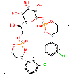 O=[P@]1(OCC(O)[C@H]2O[C@H](O[P@]3(=O)OCC[C@H](c4cccc(Cl)c4)O3)[C@@H](O)[C@@H](O)[C@@H]2O)OCC[C@@H](c2cccc(Cl)c2)O1